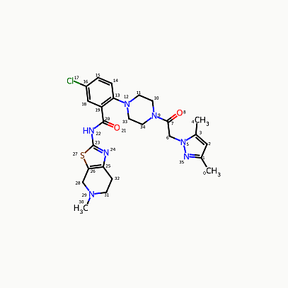 Cc1cc(C)n(CC(=O)N2CCN(c3ccc(Cl)cc3C(=O)Nc3nc4c(s3)CN(C)CC4)CC2)n1